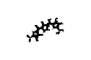 CC1=C(C)/C(=C(/C)C2=C(C)/C(=C(\C)C3=C(C)C(C)=C(N(C)C)C3)CC2)CC1=[N+](C)C